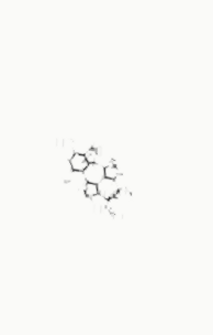 CCNC(=O)c1noc(C(N)=O)c1-c1c(C(=O)NCC)noc1-c1cc(C(C)C)c(O)cc1O